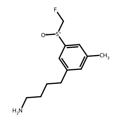 Cc1cc(CCCCN)cc([S+]([O-])CF)c1